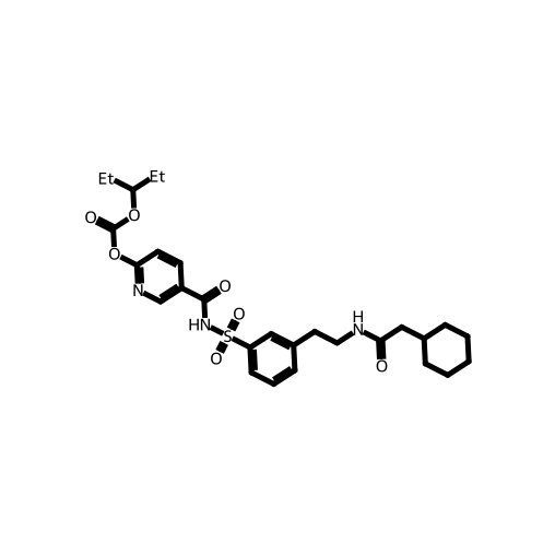 CCC(CC)OC(=O)Oc1ccc(C(=O)NS(=O)(=O)c2cccc(CCNC(=O)CC3CCCCC3)c2)cn1